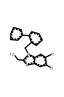 FC(F)(F)Cc1nc2cc(Cl)c(Cl)cc2n1Cc1ccccc1-c1ccccc1